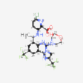 CC(Nc1ccc(Cl)nc1C(=O)O)c1cc(C(F)(F)F)cc2c1nc(N1CCOCC1)n1cc(C(F)(F)F)nc21